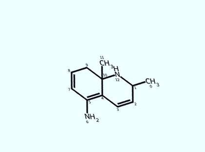 CC1C=CC2=C(N)C=CCC2(C)N1